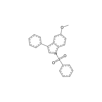 COc1ccc2c(c1)c(-c1ccccc1)cn2S(=O)(=O)c1ccccc1